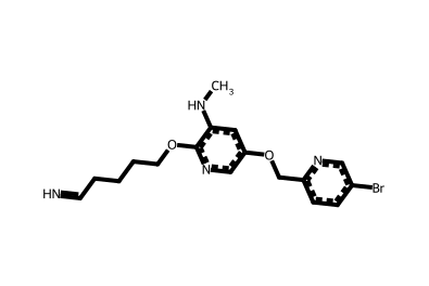 CNc1cc(OCc2ccc(Br)cn2)cnc1OCCCCC=N